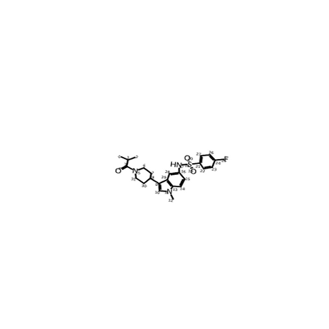 CC(C)C(=O)N1CCC(c2cn(C)c3ccc(NS(=O)(=O)c4ccc(F)cc4)cc23)CC1